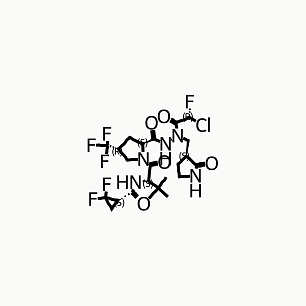 CC(C)(C)[C@H](NC(=O)[C@@H]1CC1(F)F)C(=O)N1C[C@H](C(F)(F)F)C[C@H]1C(=O)NN(C[C@@H]1CCNC1=O)C(=O)[C@H](F)Cl